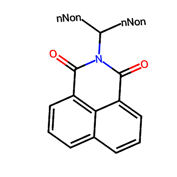 CCCCCCCCCC(CCCCCCCCC)N1C(=O)c2cccc3cccc(c23)C1=O